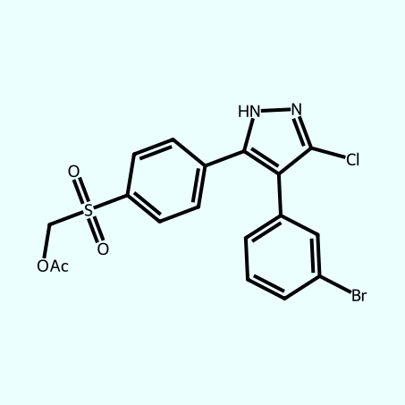 CC(=O)OCS(=O)(=O)c1ccc(-c2[nH]nc(Cl)c2-c2cccc(Br)c2)cc1